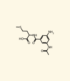 CSCCC(NC(=O)c1cc(N)cc(NC(C)=O)c1)C(=O)O